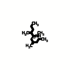 C=C(CCC)C[C@H](NC)C(=C)CCC